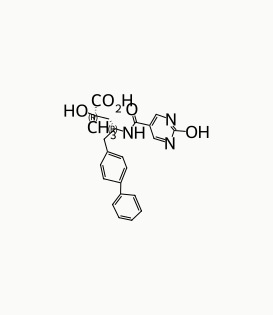 C[C@@](O)(C[C@@H](Cc1ccc(-c2ccccc2)cc1)NC(=O)c1cnc(O)nc1)C(=O)O